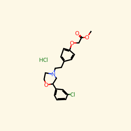 COC(=O)COc1ccc(CCN2CCOC(c3cccc(Cl)c3)C2)cc1.Cl